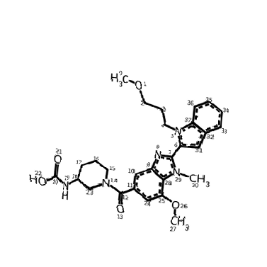 COCCCn1c(-c2nc3cc(C(=O)N4CCCC(NC(=O)O)C4)cc(OC)c3n2C)cc2ccccc21